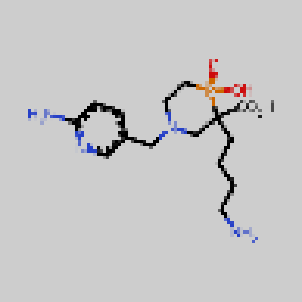 NCCCCC1(C(=O)O)CN(Cc2ccc(N)nc2)CCP1(=O)O